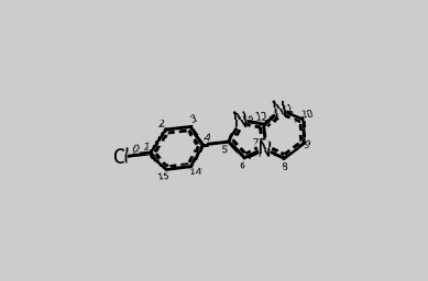 Clc1ccc(-c2[c]n3cccnc3n2)cc1